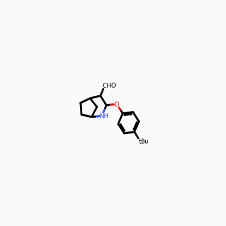 CC(C)(C)c1ccc(OC2NC3CCC(C3)C2C=O)cc1